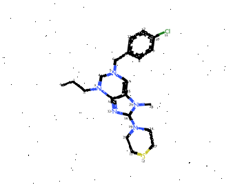 CCCN1CN(Cc2ccc(Cl)cc2)C=C2C1=NC(N1CCSCC1)N2C